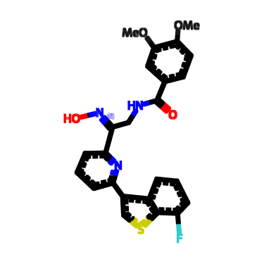 COc1ccc(C(=O)NC/C(=N/O)c2cccc(-c3csc4c(F)cccc34)n2)cc1OC